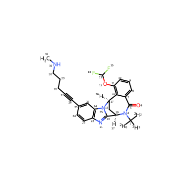 [2H]C([2H])([2H])N1C(=O)c2cccc(OC(F)F)c2[C@H]2C[C@@H]1c1nc3ccc(C#CCCCNC)cc3n12